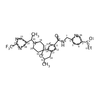 CC[S+]([O-])c1ccc(CNC(=O)c2cc3c(s2)C2(CCN(C(C)c4cnc(C(F)(F)F)nc4)CC2)OC(C)C3)nc1